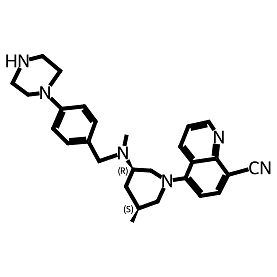 C[C@H]1C[C@@H](N(C)Cc2ccc(N3CCNCC3)cc2)CN(c2ccc(C#N)c3ncccc23)C1